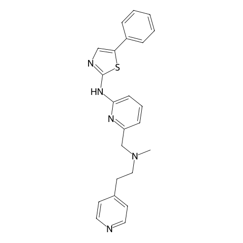 CN(CCc1ccncc1)Cc1cccc(Nc2ncc(-c3ccccc3)s2)n1